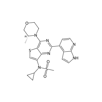 C[C@@H]1COCCN1c1nc(-c2ccnc3[nH]ccc23)nc2c(N(C3CC3)S(C)(=O)=O)csc12